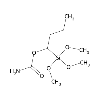 CCCC(OC(N)=O)[Si](OC)(OC)OC